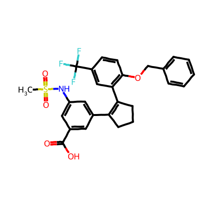 CS(=O)(=O)Nc1cc(C(=O)O)cc(C2=C(c3cc(C(F)(F)F)ccc3OCc3ccccc3)CCC2)c1